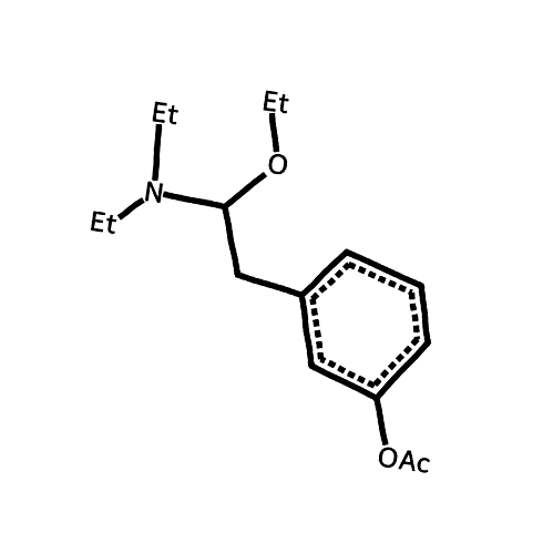 CCOC(Cc1cccc(OC(C)=O)c1)N(CC)CC